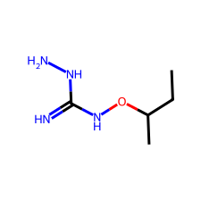 CCC(C)ONC(=N)NN